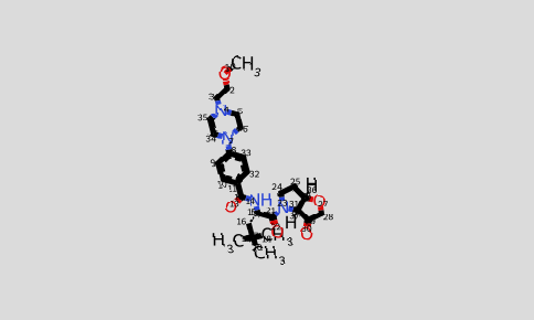 COCCN1CCN(c2ccc(C(=O)N[C@@H](CC(C)(C)C)C(=O)N3CC[C@H]4OCC(=O)[C@H]43)cc2)CC1